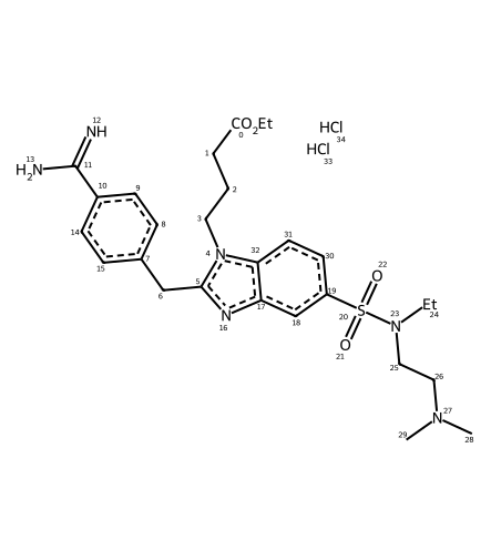 CCOC(=O)CCCn1c(Cc2ccc(C(=N)N)cc2)nc2cc(S(=O)(=O)N(CC)CCN(C)C)ccc21.Cl.Cl